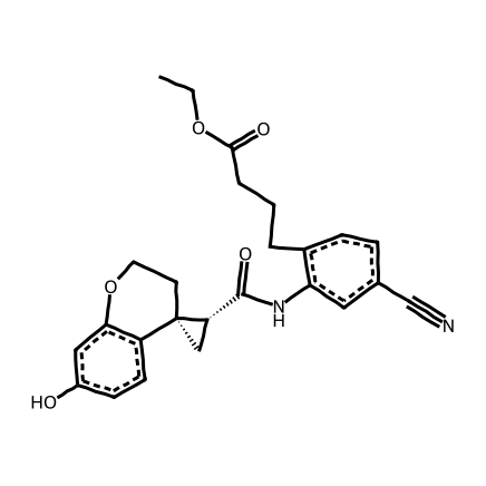 CCOC(=O)CCCc1ccc(C#N)cc1NC(=O)[C@@H]1C[C@]12CCOc1cc(O)ccc12